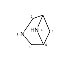 C1[N]CC2CC1N2